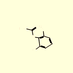 C=C(C)Oc1c(Cl)cccc1Cl